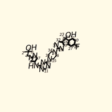 CC(C)(O)Cn1cc(Nc2ncnc(N3CCN(c4ncc([C@@](C)(O)c5ccc(F)cc5)cn4)CC3)n2)cn1